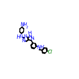 NC1CCC(Nc2ncc3c(-c4cccc(NCc5ccc(Cl)cc5)c4)n[nH]c3n2)CC1